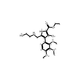 CCOC(=O)c1[nH]c(CNCCS)c(-c2ccc(OC)c(OC)c2OC)c1Cl